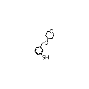 Sc1cccc(COC2CCOCC2)c1